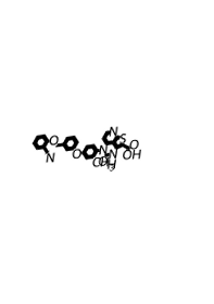 Cc1cc(Oc2cccc(COc3ccccc3C#N)c2)ccc1N1C(=O)Nc2c(C(=O)O)sc3nccc1c23